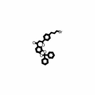 O=C1CC(c2ccc(CCCBr)cc2)Oc2c1ccc1c2OC(c2ccccc2)(c2ccccc2)O1